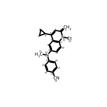 C=C1C=C(C2CC2)c2cc(N(C)c3ccc(C#N)cc3)ccc2N1CC